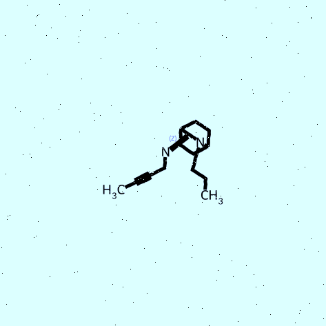 CC#CC/N=C1/C2CCC(CC2)N1CCC